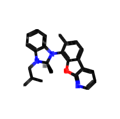 Cc1ccc2c(oc3ncccc32)c1N1c2ccccc2N(CC(C)C)[C@@H]1C